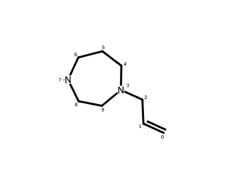 C=CCN1CCC[N]CC1